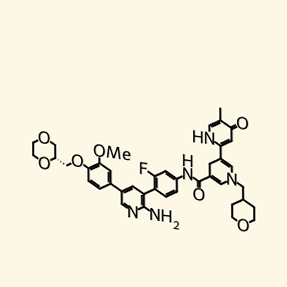 COc1cc(-c2cnc(N)c(-c3ccc(NC(=O)C4=CN(CC5CCOCC5)C=C(c5cc(=O)c(C)c[nH]5)C4)cc3F)c2)ccc1OC[C@H]1COCCO1